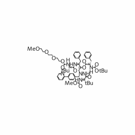 COCCOCCOCCOC(=O)N[C@H](C(=O)N[C@@H](Cc1ccccc1)[C@H](CN(Cc1ccc(-c2ccccn2)cc1)NC(=O)[C@@H](NC(=O)OC)C(C)(C)C)OC(=O)[C@H](Cc1ccccc1)NC(=O)OC(C)(C)C)C(C)(C)C